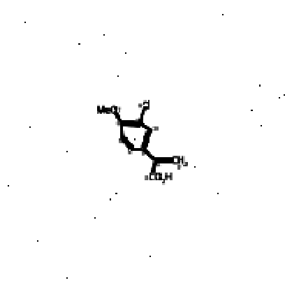 C=C(C(=O)O)c1ccc(OC)c(Cl)c1